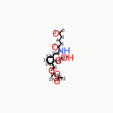 CC(=O)CCCC(=O)N[C@H]1Cc2cccc(COC(C)OC(C)=O)c2OB1O